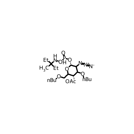 CCCCOCC1O[C@H](O[PH](=O)ONC(C)(CC)CC)C(N=[N+]=[N-])C(OCCCC)[C@@H]1OC(C)=O